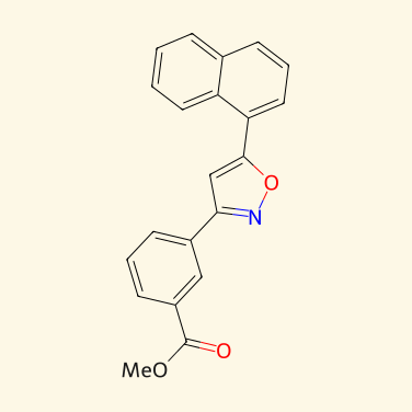 COC(=O)c1cccc(-c2cc(-c3cccc4ccccc34)on2)c1